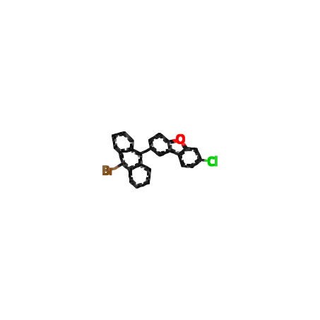 Clc1ccc2c(c1)oc1ccc(-c3c4ccccc4c(Br)c4ccccc34)cc12